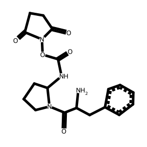 NC(Cc1ccccc1)C(=O)N1CCCC1NC(=O)ON1C(=O)CCC1=O